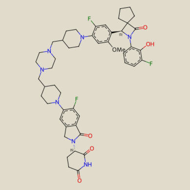 COc1cc(N2CCC(CN3CCN(CC4CCN(c5cc6c(cc5F)C(=O)N([C@H]5CCC(=O)NC5=O)C6)CC4)CC3)CC2)c(F)cc1[C@@H]1N(c2cccc(F)c2O)C(=O)C12CCCC2